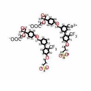 CS(=O)(=O)CCCOc1ccc(-c2cccc(COc3ccc(C4(OCC(=O)[O-])COC4)cc3)c2)c(C(F)(F)F)c1.CS(=O)(=O)CCCOc1ccc(-c2cccc(COc3ccc(C4(OCC(=O)[O-])COC4)cc3)c2)c(C(F)(F)F)c1.[Ca+2]